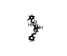 Cc1ccccc1CC(=O)Nc1n[nH]c2c1CN(CCc1ccccc1)C2